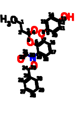 CCCC(=O)Oc1c(Oc2ccc(O)cc2)cccc1N(C=O)OCc1ccccc1